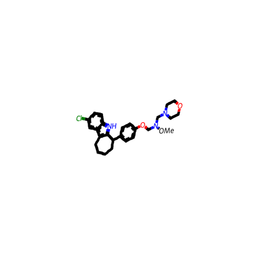 CON(COc1ccc(C2CCCCc3c2[nH]c2ccc(Cl)cc32)cc1)CN1CCOCC1